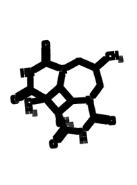 CC1CN2C(=O)NC(=O)C3(C)C2C2N(C1)C(=O)NC(=O)C23C